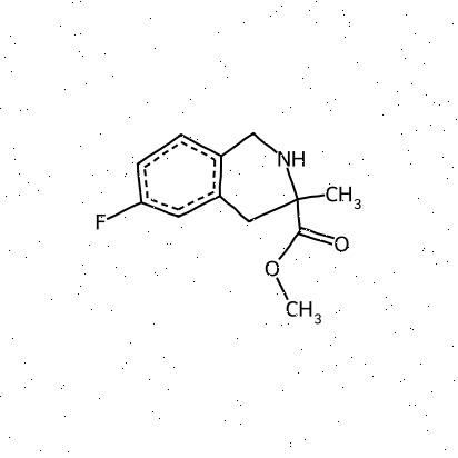 COC(=O)C1(C)Cc2cc(F)ccc2CN1